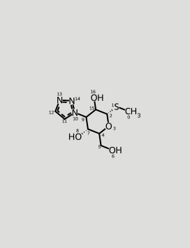 CS[C@@H]1OC(CO)[C@H](O)C(n2ccnn2)C1O